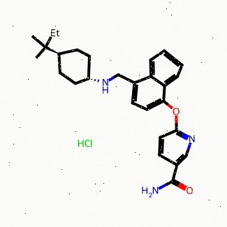 CCC(C)(C)[C@H]1CC[C@H](NCc2ccc(Oc3ccc(C(N)=O)cn3)c3ccccc23)CC1.Cl